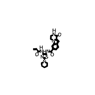 C=CC(=O)Nc1nc(N2CCCCC2)sc1NC(=O)c1ccc2cc3n(c2c1)CCNC3=O